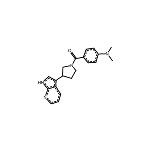 CN(C)c1ccc(C(=O)N2CCC(c3c[nH]c4ncccc34)C2)cc1